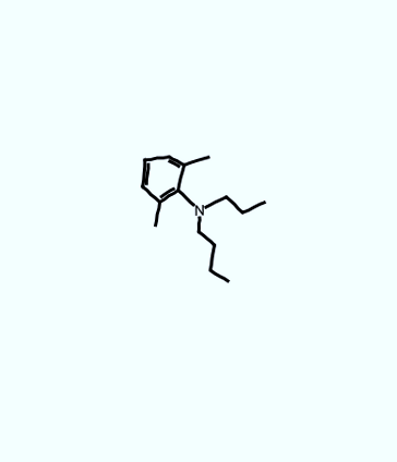 CCCCN(CCC)c1c(C)cccc1C